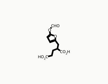 O=COc1ccc(CC(CCC(=O)O)C(=O)O)o1